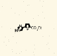 CCOC(=O)c1ccc(-c2c[nH]cn2)s1